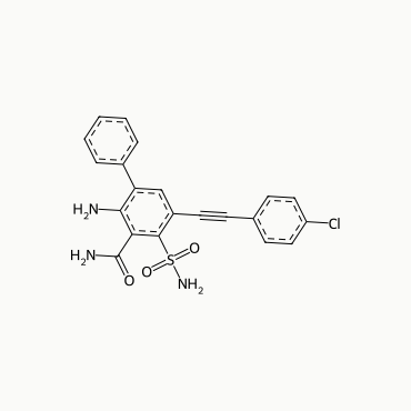 NC(=O)c1c(N)c(-c2ccccc2)cc(C#Cc2ccc(Cl)cc2)c1S(N)(=O)=O